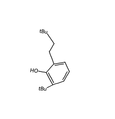 CC(C)(C)CCc1cccc(C(C)(C)C)c1O